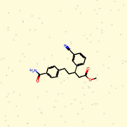 COC(=O)CC(CCc1ccc(C(N)=O)cc1)c1cccc(C#N)c1